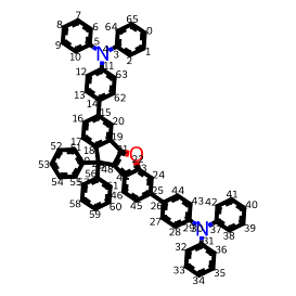 c1ccc(N(c2ccccc2)c2ccc(-c3ccc4c(c3)-c3oc5cc(-c6ccc(N(c7ccccc7)c7ccccc7)cc6)ccc5c3C4(c3ccccc3)c3ccccc3)cc2)cc1